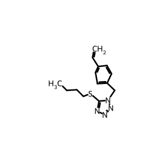 C=Cc1ccc(Cn2nnnc2SCCCC)cc1